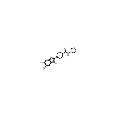 Cn1c(N2CCC(C(=O)NC3CCCC3)CC2)nc2cc(F)c(Cl)cc21